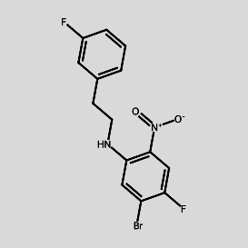 O=[N+]([O-])c1cc(F)c(Br)cc1NCCc1cccc(F)c1